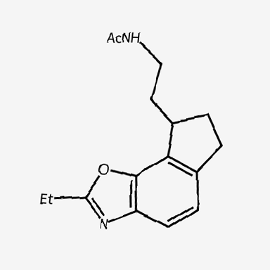 CCc1nc2ccc3c(c2o1)C(CCNC(C)=O)CC3